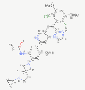 C=CC(=O)Nc1cc(-c2cc3c(cn2)cc(-c2c(Cl)c(OC)cc(OC)c2Cl)c2nccn23)c(OC)cc1N1CC2(CCN(C3CC3)C2)C1